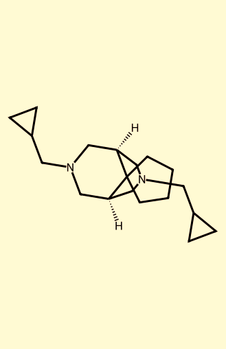 C1CCC2(C1)[C@H]1CN(CC3CC3)C[C@@H]2CN(CC2CC2)C1